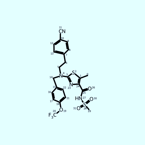 Cc1sc(N(CCc2ccc(C#N)cc2)Cc2ccc(OC(F)(F)F)cc2)nc1C(=O)NS(C)(=O)=O